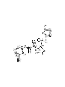 Cc1cc(CC(=O)N2CCC[C@H]2C(=O)NCc2ccnc(Br)c2)on1